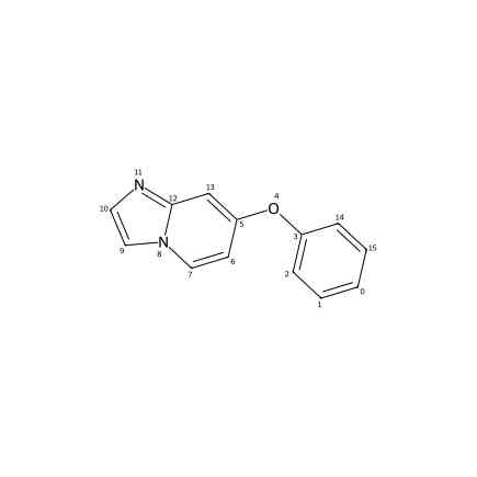 c1ccc(Oc2ccn3ccnc3c2)cc1